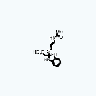 CC(C)(C)C(=O)NCCCSC1(CC(=O)O)Nc2ccccc2N1